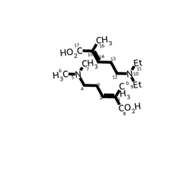 CC(=CCCN(C)C)C(=O)O.CCN(CC)CCC=C(C)C(=O)O